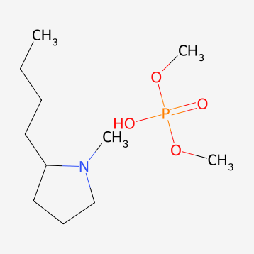 CCCCC1CCCN1C.COP(=O)(O)OC